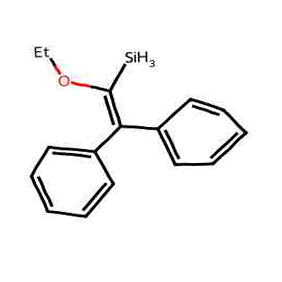 CCOC([SiH3])=C(c1ccccc1)c1ccccc1